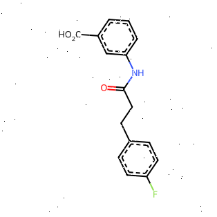 O=C(CCc1ccc(F)cc1)Nc1cccc(C(=O)O)c1